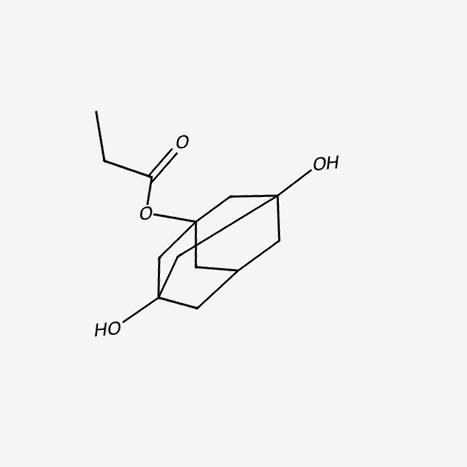 CCC(=O)OC12CC3CC(O)(CC(O)(C3)C1)C2